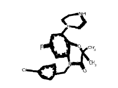 CC1(C)Oc2c(N3CCNCC3)cc(F)cc2N(Cc2ccc(Cl)cc2)C1=O